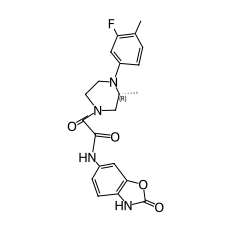 Cc1ccc(N2CCN(C(=O)C(=O)Nc3ccc4[nH]c(=O)oc4c3)C[C@H]2C)cc1F